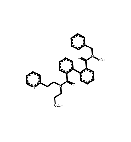 CCCCN(Cc1ccccc1)C(=O)c1ccccc1-c1ccccc1C(=O)N(CCC(=O)O)CCc1ccccn1